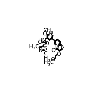 COCCOc1cnc2ccc(-c3cnc(OC)c(NS(=O)(=O)c4sc(C)nc4C)c3)cn2c1=O